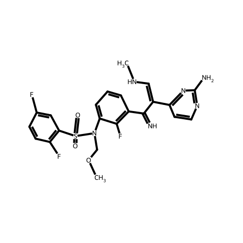 CN/C=C(\C(=N)c1cccc(N(COC)S(=O)(=O)c2cc(F)ccc2F)c1F)c1ccnc(N)n1